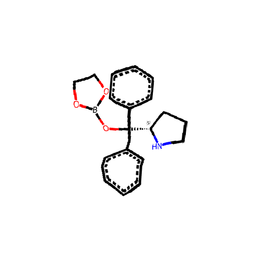 c1ccc(C(OB2OCCO2)(c2ccccc2)[C@@H]2CCCN2)cc1